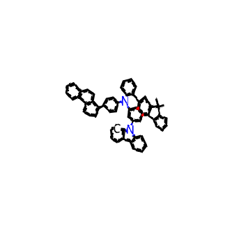 CC1(C)c2ccccc2-c2ccc(-c3ccccc3N(c3ccc(-c4cccc5c4ccc4ccccc45)cc3)c3cccc(-n4c5ccccc5c5ccccc54)c3)cc21